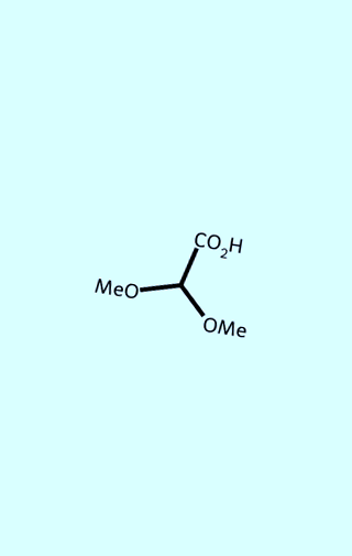 COC(OC)C(=O)O